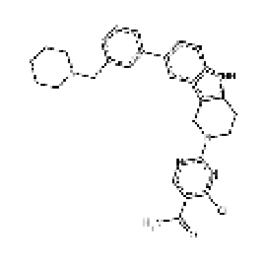 NC(=O)c1cnc(N2CCc3[nH]c4ccc(-c5cccc(CN6CCSCC6)c5)cc4c3C2)nc1O